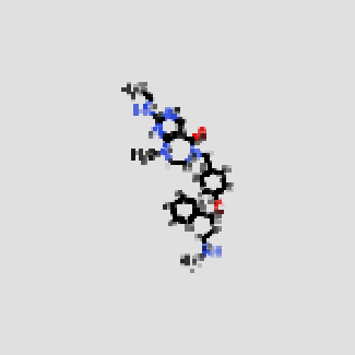 CCNc1ncc2c(n1)N(C)CCN(Cc1ccc(OC(CCNC)c3ccccc3)cc1)C2=O